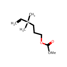 C=C[Si](C)(C)CCCOC(=O)OC